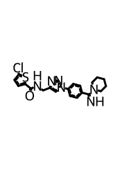 N=C(c1ccc(-n2cc(CNC(=O)c3ccc(Cl)s3)nn2)cc1)N1CCCCC1